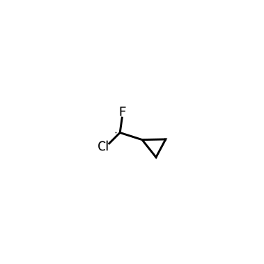 F[C](Cl)C1CC1